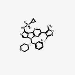 Cc1noc(C)c1-c1cnc2c(c1)N([C@H](c1ccccc1)C1CCOCC1)C1C=NC(NS(=O)(=O)C3CC3)=C21